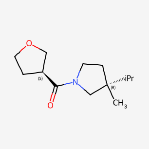 CC(C)[C@@]1(C)CCN(C(=O)[C@H]2CCOC2)C1